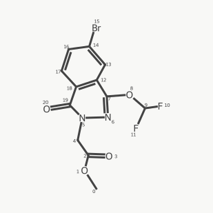 COC(=O)Cn1nc(OC(F)F)c2cc(Br)ccc2c1=O